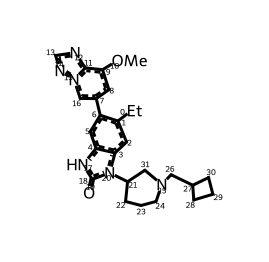 CCc1cc2c(cc1-c1cc(OC)c3ncnn3c1)[nH]c(=O)n2C1CCCN(CC2CCC2)C1